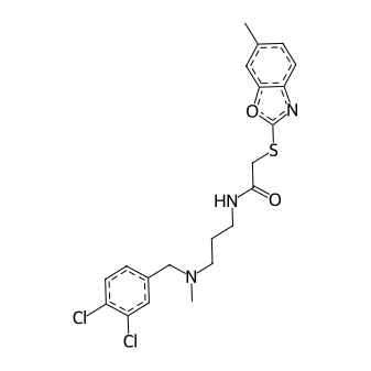 Cc1ccc2nc(SCC(=O)NCCCN(C)Cc3ccc(Cl)c(Cl)c3)oc2c1